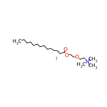 CCCCCCCCCCCCCC(=O)OCCOCC[N+](C)(C)C.[I-]